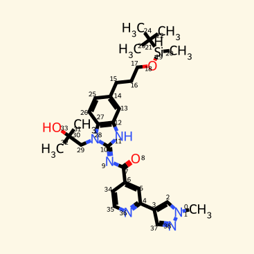 Cn1cc(-c2cc(C(=O)/N=c3\[nH]c4cc(CCCO[SiH](C)C(C)(C)C)ccc4n3CC(C)(C)O)ccn2)cn1